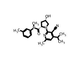 Cc1cccc(N(C)C(=O)[C@@H]2C[C@H](O)CN2c2nc(C)cc(C(C)C)c2C#N)c1